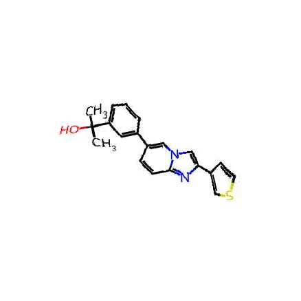 CC(C)(O)c1cccc(-c2ccc3nc(-c4ccsc4)cn3c2)c1